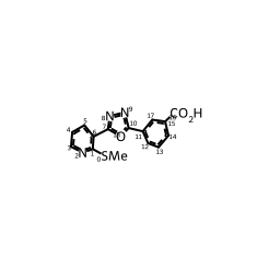 CSc1ncccc1-c1nnc(-c2cccc(C(=O)O)c2)o1